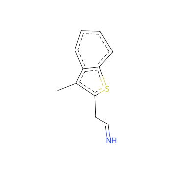 Cc1c(CC=N)sc2ccccc12